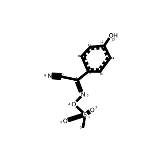 CS(=O)(=O)ON=C(C#N)c1ccc(O)cc1